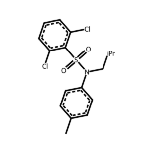 Cc1ccc(N(CC(C)C)S(=O)(=O)c2c(Cl)cccc2Cl)cc1